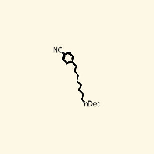 CCCCCCCCCCCCCCCCCCc1ccc(C#N)cc1